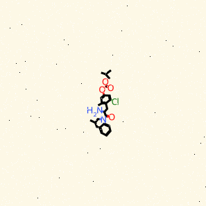 Cc1cc(OC(=O)OCC(C)C)cc(Cl)c1CC(N)C(=O)N1CC(C)Cc2ccccc21